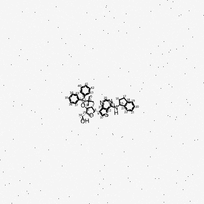 CC(C)(C)[Si](O[C@H]1C[C@H](c2csc3c(N[C@H]4CCc5ccccc54)ncnc23)O[C@@H]1CO)(c1ccccc1)c1ccccc1